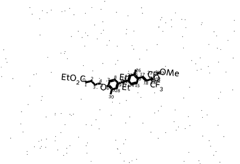 CCOC(=O)CCCCOc1ccc(C(CC)(CC)c2ccc(C=CC(OCOC)(C(F)(F)F)C(F)(F)F)c(C)c2)cc1C